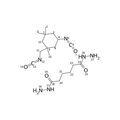 CC1(C)CC(N=C=O)CC(C)(CN=C=O)C1.NNC(=O)CCCCC(=O)NN